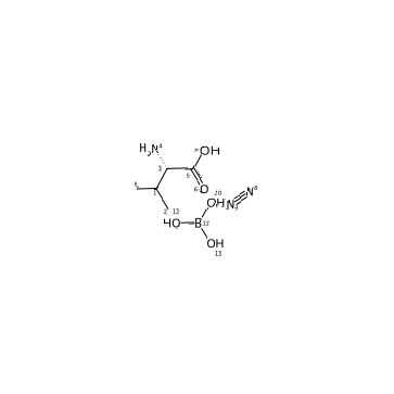 CC(C)[C@H](N)C(=O)O.N#N.OB(O)O